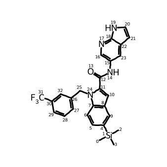 C[Si](C)(C)c1ccc2c(c1)cc(C(=O)Nc1cnc3[nH]ccc3c1)n2Cc1cccc(C(F)(F)F)c1